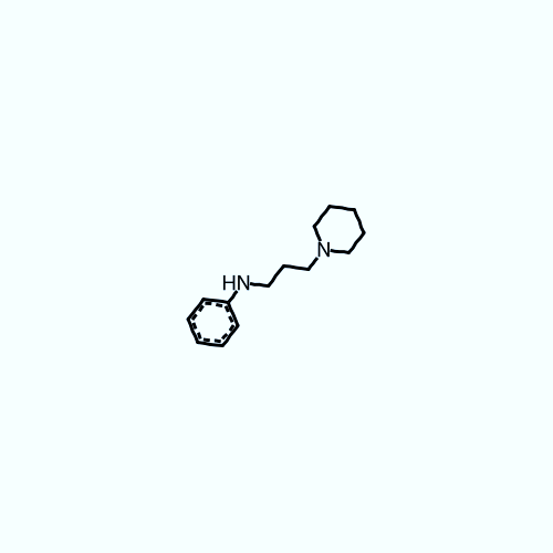 c1ccc(NCCCN2CCCCC2)cc1